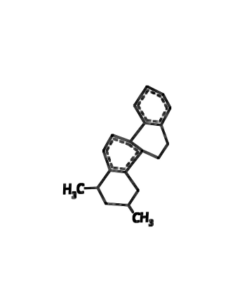 CC1Cc2c(ccc3c2CCc2ccccc2-3)C(C)C1